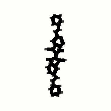 O=C1/C(=C2\Nc3ccc(OCc4ccccc4)cc3C2=O)Nc2ccc(OCc3ccccc3)cc21